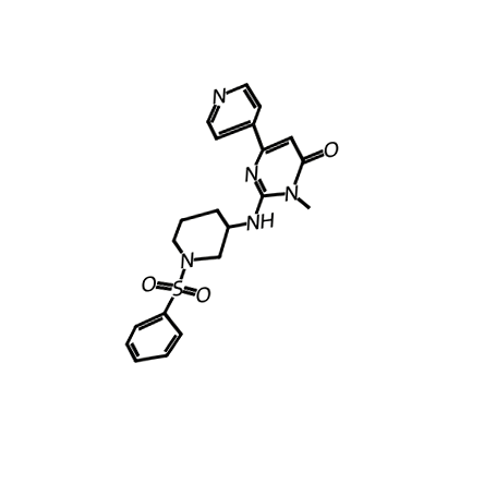 Cn1c(NC2CCCN(S(=O)(=O)c3ccccc3)C2)nc(-c2ccncc2)cc1=O